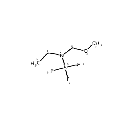 CCN(COC)S(F)(F)F